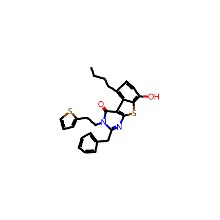 CCCCc1ccc(O)c2sc3nc(Cc4ccccc4)n(CCc4cccs4)c(=O)c3c12